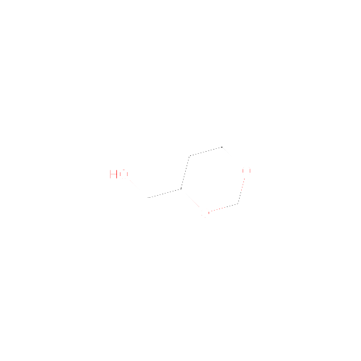 OCC1C[CH]OCO1